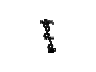 CCN(Cc1cccc(-c2ccnc(NCCc3ccc(O)c(Cl)c3)n2)c1)S(C)(=O)=O